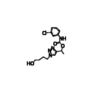 CC(OC(=O)Nc1cccc(Cl)c1)c1cn(CCCCO)nn1